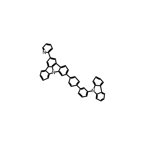 c1ccc(-c2cc3c4ccccc4n4c5cc(-c6ccc(-c7cccc(-n8c9ccccc9c9ccccc98)c7)cc6)ccc5c(c2)c34)nc1